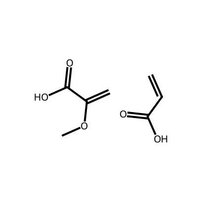 C=C(OC)C(=O)O.C=CC(=O)O